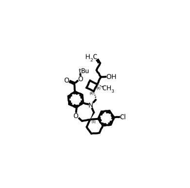 C=CCC(O)[C@]1(C)CC[C@H]1CN1C[C@@]2(CCCc3cc(Cl)ccc32)COc2ccc(C(=O)OC(C)(C)C)cc21